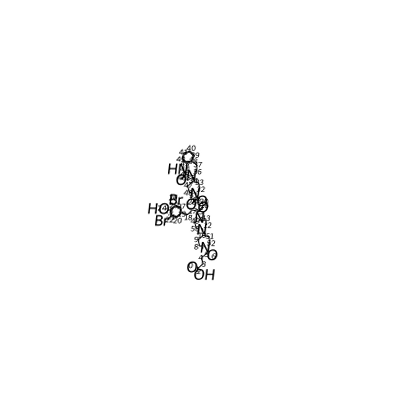 O=C(O)CCC(=O)N1CCC(N2CCN(C(=O)[C@@H](Cc3cc(Br)c(O)c(Br)c3)OC(=O)N3CCC(N4CCc5ccccc5NC4=O)CC3)CC2)CC1